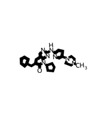 CN1CCN(c2ccc(Nc3ncc4cc(Cc5ccccc5)c(=O)n(C5CCCC5)c4n3)nc2)CC1